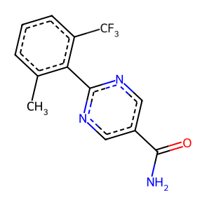 Cc1cccc(C(F)(F)F)c1-c1ncc(C(N)=O)cn1